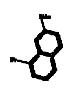 CSc1ccc2cccc(C(C)C)c2c1